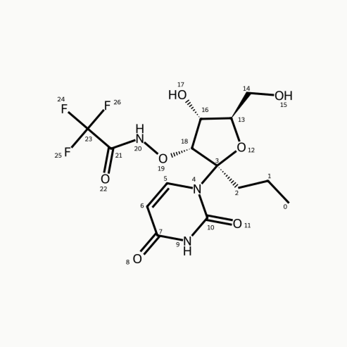 CCC[C@@]1(n2ccc(=O)[nH]c2=O)O[C@H](CO)[C@@H](O)[C@H]1ONC(=O)C(F)(F)F